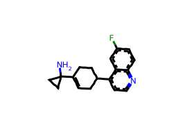 NC1(C2=CCC(c3ccnc4ccc(F)cc34)CC2)CC1